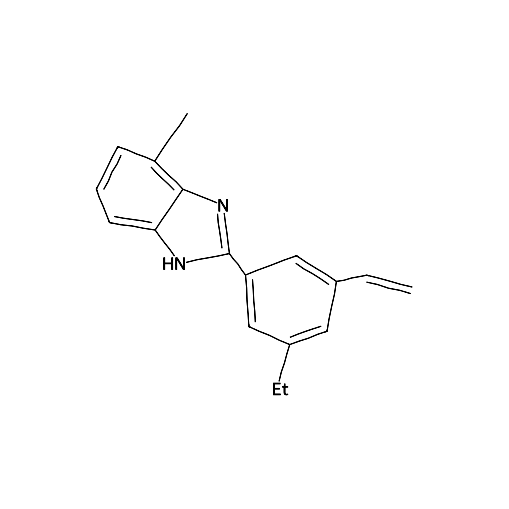 C=Cc1cc(CC)cc(-c2nc3c(C)cccc3[nH]2)c1